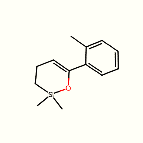 Cc1ccccc1C1=CCC[Si](C)(C)O1